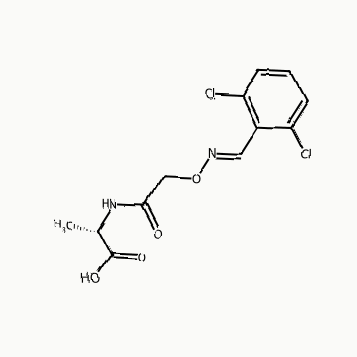 C[C@H](NC(=O)CON=Cc1c(Cl)cccc1Cl)C(=O)O